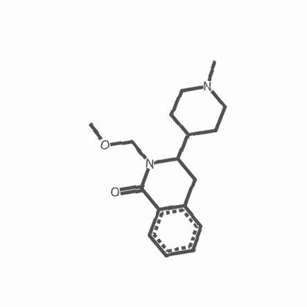 COCN1C(=O)c2ccccc2CC1C1CCN(C)CC1